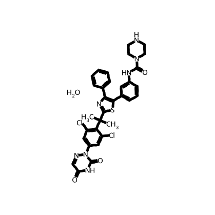 CC(C)(c1nc(-c2ccccc2)c(-c2cccc(NC(=O)N3CCNCC3)c2)s1)c1c(Cl)cc(-n2ncc(=O)[nH]c2=O)cc1Cl.O